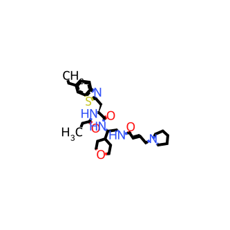 CCC(=O)N[C@@H](Cc1nc2ccc(CC)cc2s1)C(=O)NC(CNC(=O)/C=C/CN1CCCCC1)C1CCOCC1